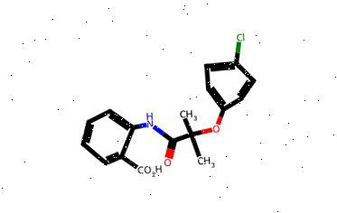 CC(C)(Oc1ccc(Cl)cc1)C(=O)Nc1ccccc1C(=O)O